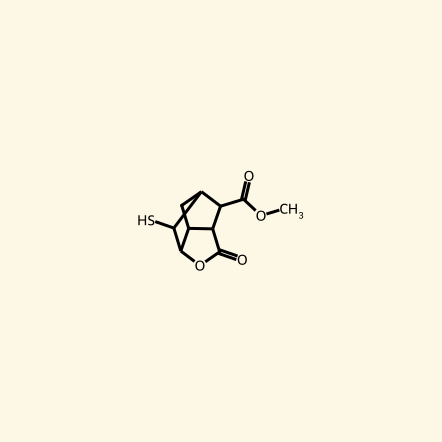 COC(=O)C1C2CC3C(OC(=O)C31)C2S